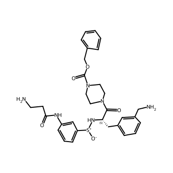 NCCC(=O)Nc1cccc([S+]([O-])N[C@@H](Cc2cccc(CN)c2)C(=O)N2CCN(C(=O)OCc3ccccc3)CC2)c1